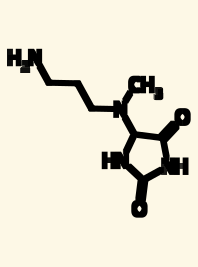 CN(CCCN)C1NC(=O)NC1=O